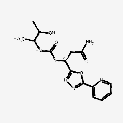 CC(O)C(NC(=O)N[C@@H](CC(N)=O)c1nnc(-c2ccccn2)o1)C(=O)O